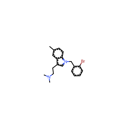 Cc1ccc2c(c1)c(CCN(C)C)cn2Cc1ccccc1Br